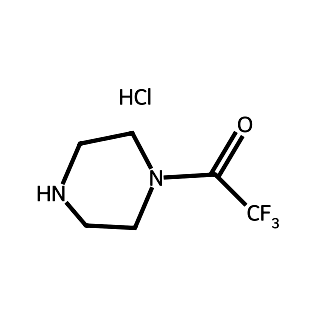 Cl.O=C(N1CCNCC1)C(F)(F)F